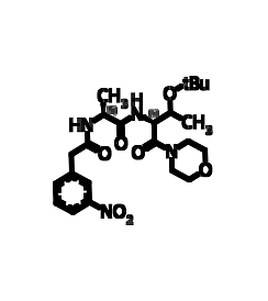 CC(OC(C)(C)C)[C@H](NC(=O)[C@H](C)NC(=O)Cc1cccc([N+](=O)[O-])c1)C(=O)N1CCOCC1